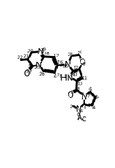 CC(=O)N(C)C1CCCN1C(=O)c1cc2c([nH]1)N(C1=CC3=NCC(C)C(=O)N3C=C1)CCO2